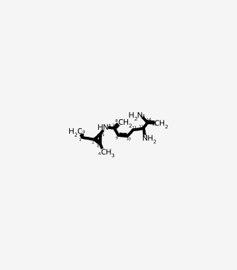 C=CC1=C(C)C1NC(=C)/C=C\CC(N)C(=C)N